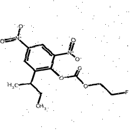 CCC(C)c1cc([N+](=O)[O-])cc([N+](=O)[O-])c1OC(=O)OCCF